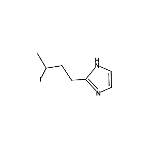 CC(I)CCc1ncc[nH]1